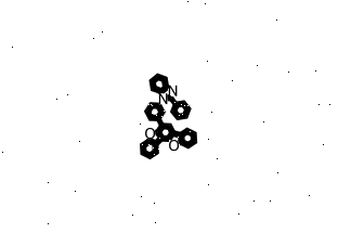 c1ccc(-c2nc3ccccc3n2-c2cccc(-c3cc4c5ccccc5oc4c4c3oc3ccccc34)c2)cc1